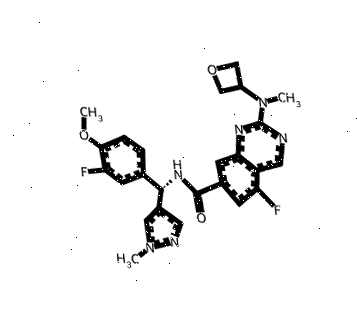 COc1ccc([C@H](NC(=O)c2cc(F)c3cnc(N(C)C4COC4)nc3c2)c2cnn(C)c2)cc1F